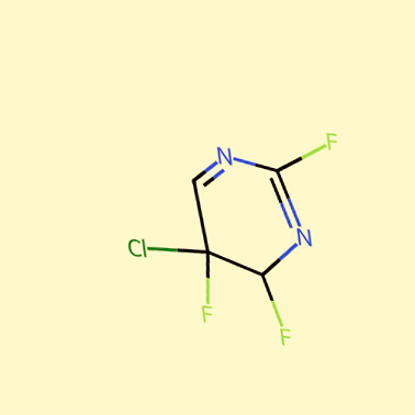 FC1=NC(F)C(F)(Cl)C=N1